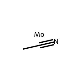 CC#N.[Mo]